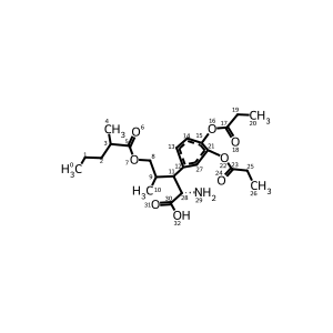 CCCC(C)C(=O)OCC(C)C(c1ccc(OC(=O)CC)c(OC(=O)CC)c1)[C@H](N)C(=O)O